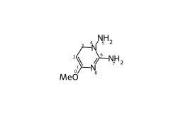 COC1=CCN(N)C(N)=N1